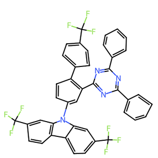 FC(F)(F)c1ccc(-c2ccc(-n3c4cc(C(F)(F)F)ccc4c4ccc(C(F)(F)F)cc43)cc2-c2nc(-c3ccccc3)nc(-c3ccccc3)n2)cc1